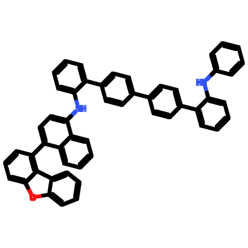 c1ccc(Nc2ccccc2-c2ccc(-c3ccc(-c4ccccc4Nc4ccc(-c5cccc6oc7ccccc7c56)c5ccccc45)cc3)cc2)cc1